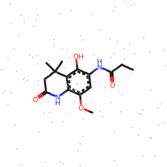 CCC(=O)Nc1cc(OC)c2c(c1O)C(C)(C)CC(=O)N2